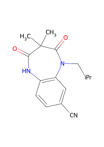 CC(C)CN1C(=O)C(C)(C)C(=O)Nc2ccc(C#N)cc21